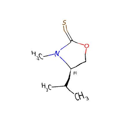 CC(C)[C@@H]1COC(=S)N1C